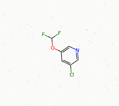 FC(F)Oc1cncc(Cl)c1